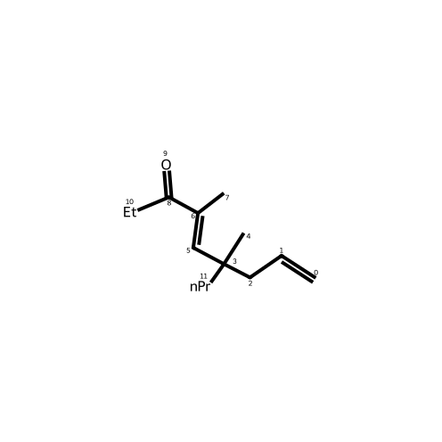 C=CCC(C)(C=C(C)C(=O)CC)CCC